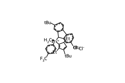 [CH2]=[Zr+2]([C]1=C(CC)C(C(C)(C)C)=CC1CC)([c]1ccc(C(F)(F)F)cc1)[CH]1c2cc(C(C)(C)C)ccc2-c2ccc(C(C)(C)C)cc21.[Cl-].[Cl-]